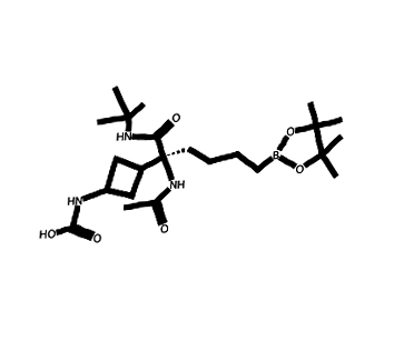 CC(=O)N[C@](CCCCB1OC(C)(C)C(C)(C)O1)(C(=O)NC(C)(C)C)C1CC(NC(=O)O)C1